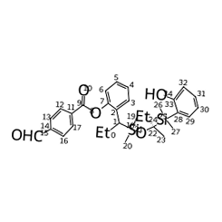 CCC(c1ccccc1OC(=O)c1ccc(C=O)cc1)[Si](C)(C)O[C@@](C)(CC)[Si](C)(C)c1ccccc1O